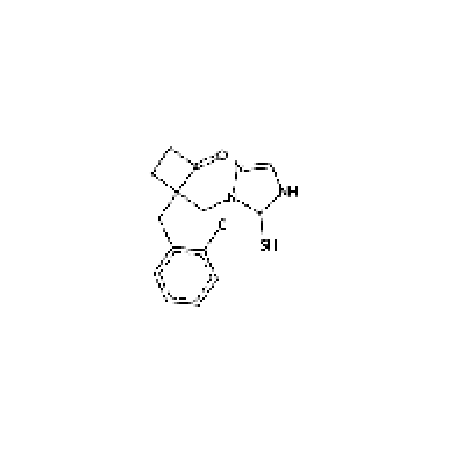 O=C1CCC1(Cc1ccccc1Cl)CN1N=CNC1S